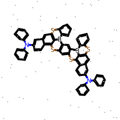 c1ccc(N(c2ccccc2)c2ccc3c4c5c(cc3c2)Sc2ccccc2B5c2cc3c(cc2S4)Sc2c4c(cc5cc(N(c6ccccc6)c6ccccc6)ccc25)Sc2ccccc2B34)cc1